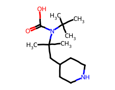 CC(C)(C)N(C(=O)O)C(C)(C)CC1CCNCC1